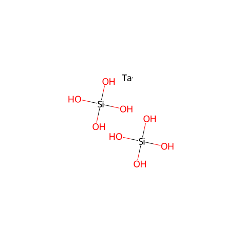 O[Si](O)(O)O.O[Si](O)(O)O.[Ta]